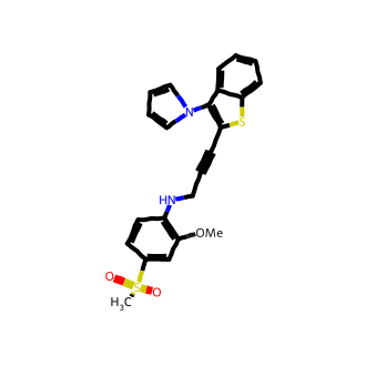 COc1cc(S(C)(=O)=O)ccc1NCC#Cc1sc2ccccc2c1-n1cccc1